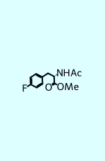 COC(=O)[C@H](Cc1ccc(F)cc1)NC(C)=O